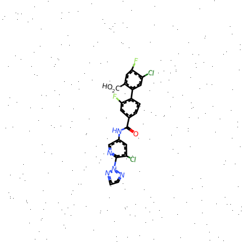 O=C(Nc1cnc(-n2nccn2)c(Cl)c1)c1ccc(-c2cc(Cl)c(F)cc2C(=O)O)c(F)c1